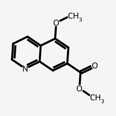 COC(=O)c1cc(OC)c2cccnc2c1